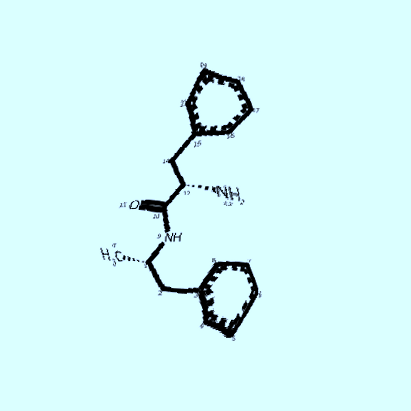 C[C@@H](Cc1ccccc1)NC(=O)[C@@H](N)Cc1ccccc1